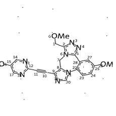 COCc1nnc2n1Cc1c(C#Cc3ncc(OC)cn3)ncn1-c1ccc(OC)cc1-2